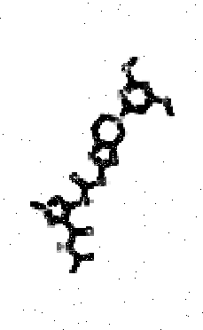 COc1cc(N2CCc3nc(NC(=O)Nc4cn(C)nc4C(=O)NC(C)C)sc3C2)nc(OC)n1